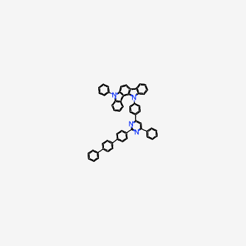 c1ccc(-c2ccc(-c3ccc(-c4nc(-c5ccccc5)cc(-c5ccc(-n6c7ccccc7c7ccc8c(c9ccccc9n8-c8ccccc8)c76)cc5)n4)cc3)cc2)cc1